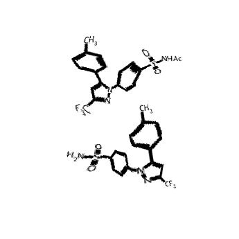 CC(=O)NS(=O)(=O)c1ccc(-n2nc(C(F)(F)F)cc2-c2ccc(C)cc2)cc1.Cc1ccc(-c2cc(C(F)(F)F)nn2-c2ccc(S(N)(=O)=O)cc2)cc1